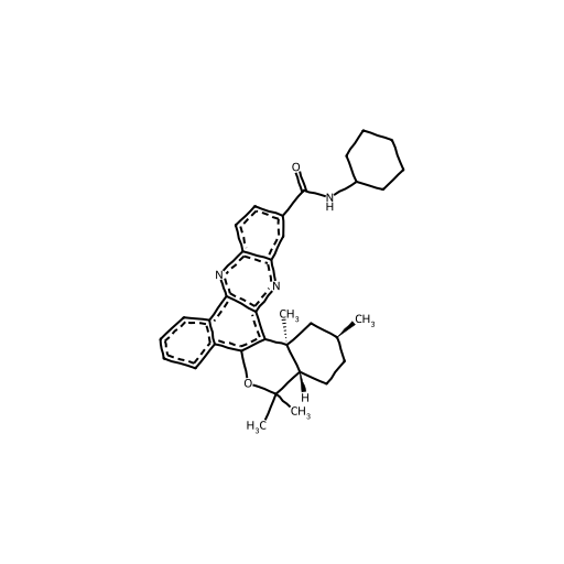 C[C@H]1CC[C@@H]2C(C)(C)Oc3c(c4nc5cc(C(=O)NC6CCCCC6)ccc5nc4c4ccccc34)[C@@]2(C)C1